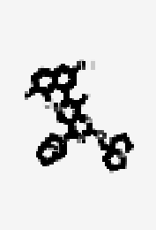 Oc1cc(-c2ncc3c(N4CC5CCC(C4)N5)nc(OCC45CCCN4CCC5)nc3c2F)c2c(Cl)c(F)ccc2c1